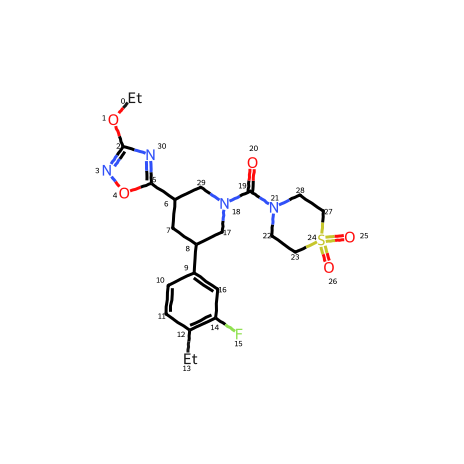 CCOc1noc(C2CC(c3ccc(CC)c(F)c3)CN(C(=O)N3CCS(=O)(=O)CC3)C2)n1